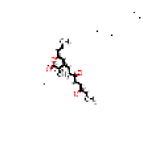 CCCC1CC(CCC(=O)CCC(=O)CC)C(C)C(=O)O1